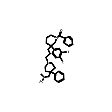 CC(=O)N(C)CC1(c2ccccc2)CCN(CCCC2(c3ccc(Cl)c(Cl)c3)CCCN(C(=O)c3ccccc3)C2)CC1